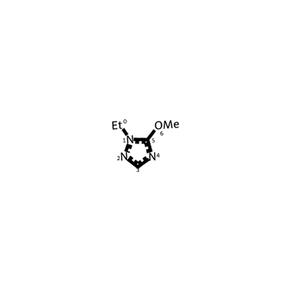 CCn1ncnc1OC